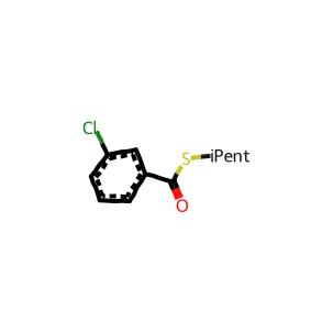 C[CH]CC(C)SC(=O)c1cccc(Cl)c1